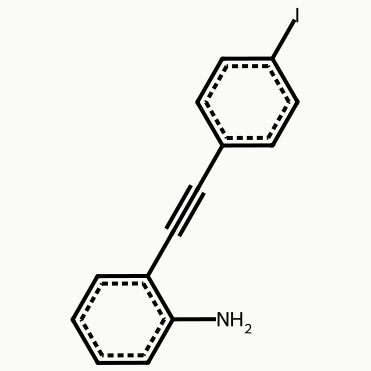 Nc1ccccc1C#Cc1ccc(I)cc1